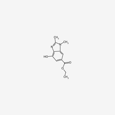 CCOC(=O)c1cc(O)c2nc(C)n(C)c2c1